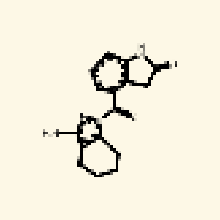 Nc1nn(C(=O)c2cccc3c2CC(=O)N3)c2c1CCCC2